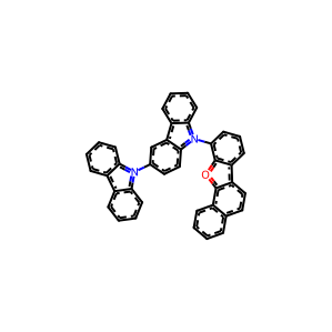 c1ccc2c(c1)ccc1c3cccc(-n4c5ccccc5c5cc(-n6c7ccccc7c7ccccc76)ccc54)c3oc21